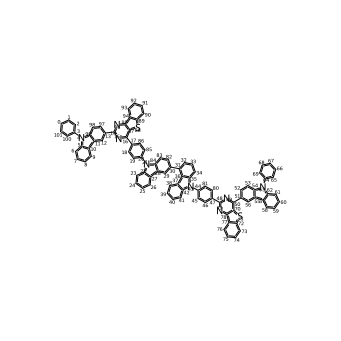 c1ccc(-n2c3ccccc3c3cc(-c4nc(-c5ccc(-n6c7ccccc7c7cc(-c8cccc9c8c8ccccc8n9-c8ccc(-c9nc(-c%10ccc%11c(c%10)c%10ccccc%10n%11-c%10ccccc%10)c%10sc%11ccccc%11c%10n9)cc8)ccc76)cc5)c5sc6ccccc6c5n4)ccc32)cc1